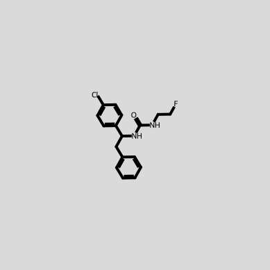 O=C(NCCF)NC(Cc1ccccc1)c1ccc(Cl)cc1